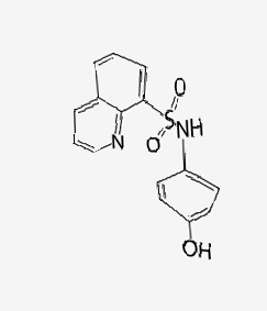 O=S(=O)(Nc1ccc(O)cc1)c1cccc2cccnc12